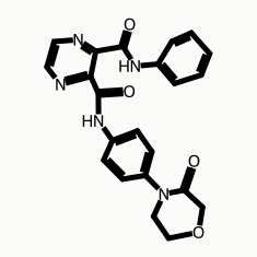 O=C(Nc1ccccc1)c1nccnc1C(=O)Nc1ccc(N2CCOCC2=O)cc1